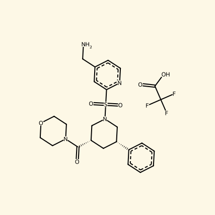 NCc1ccnc(S(=O)(=O)N2C[C@@H](C(=O)N3CCOCC3)C[C@@H](c3ccccc3)C2)c1.O=C(O)C(F)(F)F